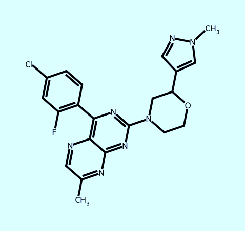 Cc1cnc2c(-c3ccc(Cl)cc3F)nc(N3CCOC(c4cnn(C)c4)C3)nc2n1